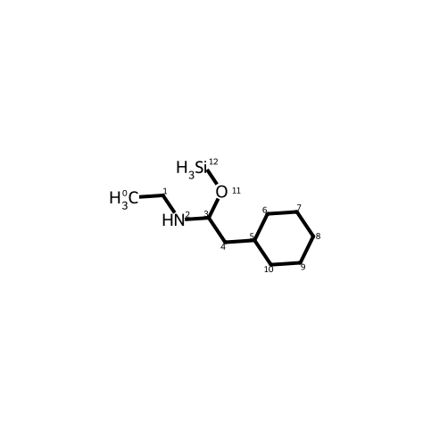 CCNC(CC1CCCCC1)O[SiH3]